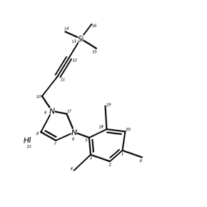 Cc1cc(C)c(N2C=CN(CC#C[Si](C)(C)C)C2)c(C)c1.I